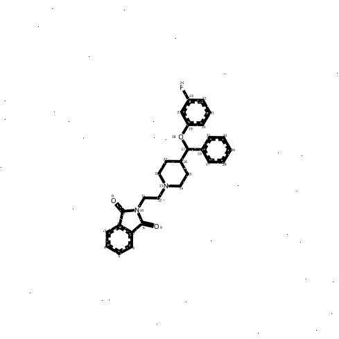 O=C1c2ccccc2C(=O)N1CCN1CCC(C(Oc2cccc(F)c2)c2ccccc2)CC1